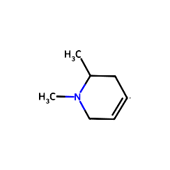 CC1C[C]=CCN1C